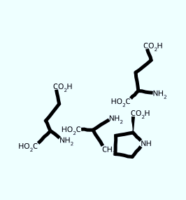 CC(N)C(=O)O.NC(CCC(=O)O)C(=O)O.NC(CCC(=O)O)C(=O)O.O=C(O)[C@@H]1CCCN1